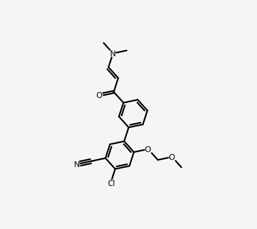 COCOc1cc(Cl)c(C#N)cc1-c1cccc(C(=O)/C=C/N(C)C)c1